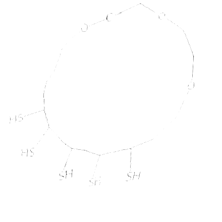 SC1CCOCCOCCOCCC(S)C(S)C(S)C1S